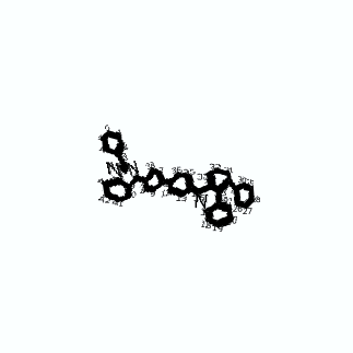 c1ccc(-c2nc(-c3ccc(-c4ccc(-c5nc6ccccc6c6c(-c7ccccc7)cccc56)cc4)cc3)c3ccccc3n2)cc1